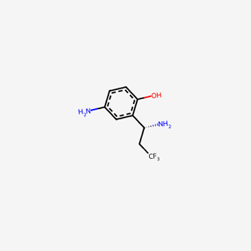 Nc1ccc(O)c([C@H](N)CC(F)(F)F)c1